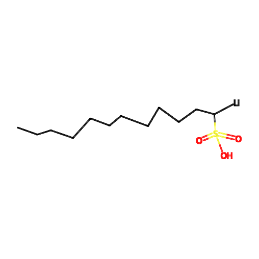 [Li][CH](CCCCCCCCCCC)S(=O)(=O)O